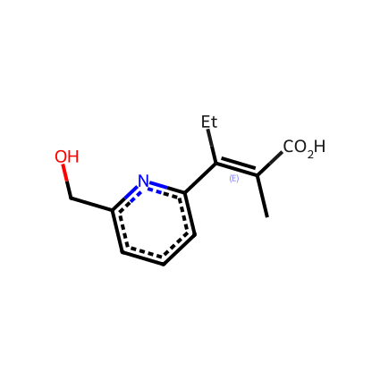 CC/C(=C(/C)C(=O)O)c1cccc(CO)n1